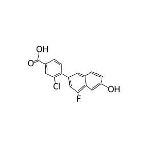 O=C(O)c1ccc(-c2cc(F)c3cc(O)ccc3c2)c(Cl)c1